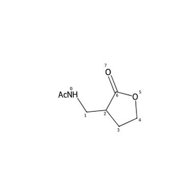 CC(=O)NCC1CCOC1=O